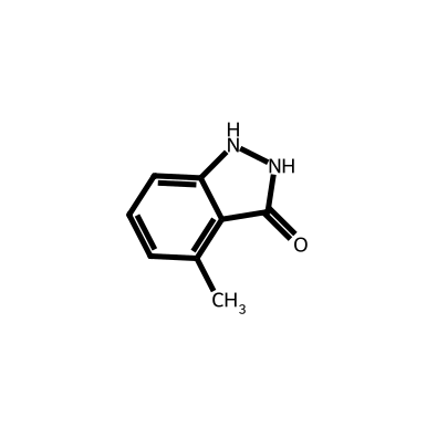 Cc1cccc2[nH][nH]c(=O)c12